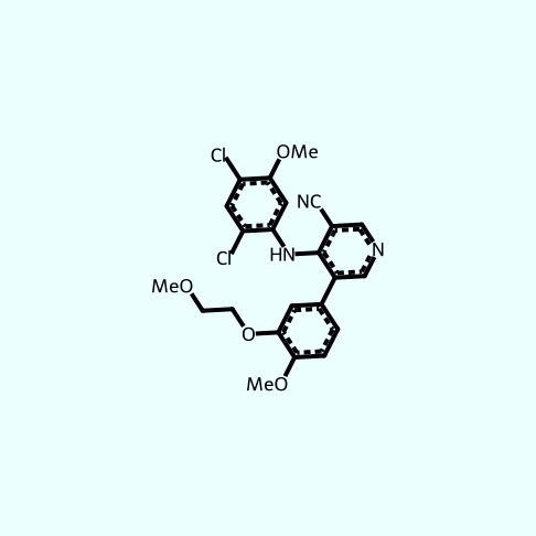 COCCOc1cc(-c2cncc(C#N)c2Nc2cc(OC)c(Cl)cc2Cl)ccc1OC